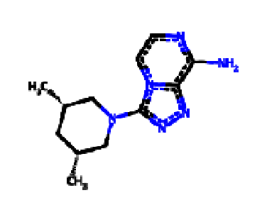 C[C@@H]1C[C@H](C)CN(c2nnc3c(N)nccn23)C1